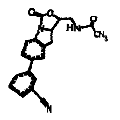 CC(=O)NCC1OC(=O)N2c3ccc(-c4cccc(C#N)c4)cc3CC12